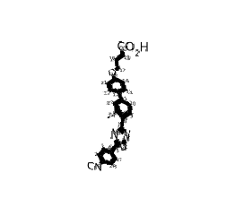 [C-]#[N+]c1ccc(-c2nc(-c3ccc(-c4ccc(OCCCC(=O)O)cc4)cc3)no2)cc1